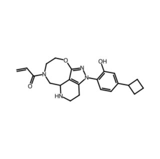 C=CC(=O)N1CCOc2nn(-c3ccc(C4CCC4)cc3O)c3c2C(C1)NCC3